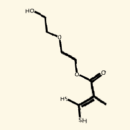 CC(C(=O)OCCOCCO)=C(S)S